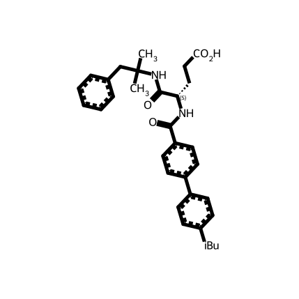 CCC(C)c1ccc(-c2ccc(C(=O)N[C@@H](CCC(=O)O)C(=O)NC(C)(C)Cc3ccccc3)cc2)cc1